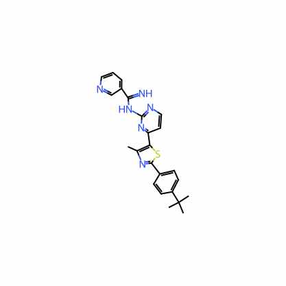 Cc1nc(-c2ccc(C(C)(C)C)cc2)sc1-c1ccnc(NC(=N)c2cccnc2)n1